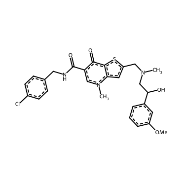 COc1cccc(C(O)CN(C)Cc2cc3c(s2)c(=O)c(C(=O)NCc2ccc(Cl)cc2)cn3C)c1